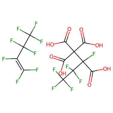 FC(F)=C(F)C(F)(F)C(F)(F)F.O=C(O)C(C(=O)O)(C(=O)O)C(F)(C(=O)O)C(F)(F)C(F)(F)F